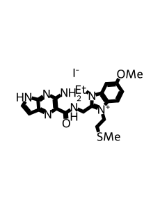 CCn1c(CNC(=O)c2nc3cc[nH]c3nc2N)[n+](CCSC)c2ccc(OC)cc21.[I-]